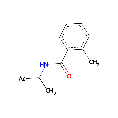 CC(=O)C(C)NC(=O)c1ccccc1C